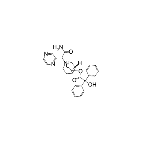 NC(=O)C(c1cnccn1)[N+]12CCC(CC1)[C@@H](OC(=O)C(O)(c1ccccc1)c1ccccc1)C2